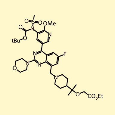 CCOC(=O)COC(C)(C)C1CCN(Cc2cc(F)cc3c(-c4cnc(OC)c(N(C(=O)OC(C)(C)C)S(C)(=O)=O)c4)nc(N4CCOCC4)nc23)CC1